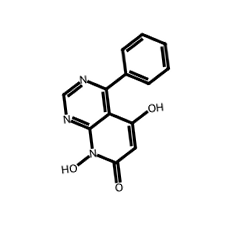 O=c1cc(O)c2c(-c3ccccc3)ncnc2n1O